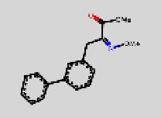 CON=C(Cc1cccc(-c2ccccc2)c1)C(=O)OC